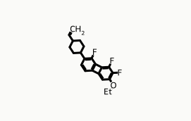 C=CC1CCC(c2ccc3c(c2F)-c2c-3cc(OCC)c(F)c2F)CC1